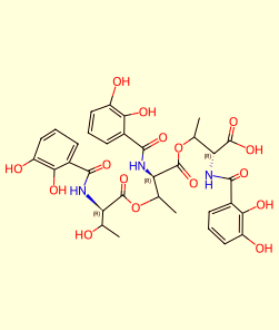 CC(O)[C@@H](NC(=O)c1cccc(O)c1O)C(=O)OC(C)[C@@H](NC(=O)c1cccc(O)c1O)C(=O)OC(C)[C@@H](NC(=O)c1cccc(O)c1O)C(=O)O